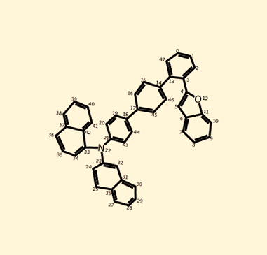 c1ccc(-c2cc3ccccc3o2)c(-c2ccc(-c3ccc(N(c4ccc5ccccc5c4)c4cccc5ccccc45)cc3)cc2)c1